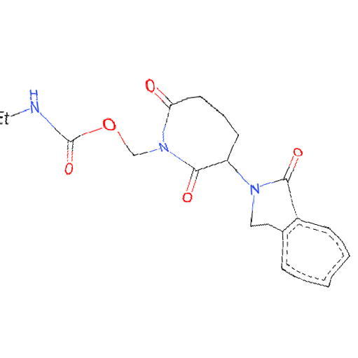 CCNC(=O)OCN1C(=O)CCC(N2Cc3ccccc3C2=O)C1=O